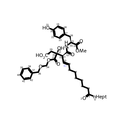 CCCCCCCC(=O)CCCCCC/C=C/[C@H](C(=O)N[C@@H](Cc1ccc(O)cc1)C(=O)OC)[C@@](O)(CC(=O)O)C(=O)OCOCc1ccccc1